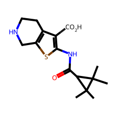 CC1(C)C(C(=O)Nc2sc3c(c2C(=O)O)CCNC3)C1(C)C